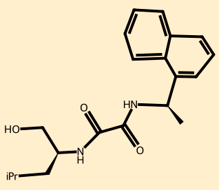 CC(C)C[C@@H](CO)NC(=O)C(=O)N[C@H](C)c1cccc2ccccc12